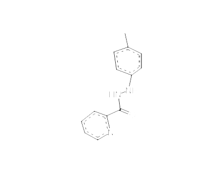 Cc1ccc(NNC(=O)c2ccccn2)cc1